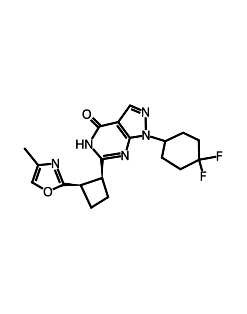 Cc1coc([C@@H]2CC[C@@H]2c2nc3c(cnn3C3CCC(F)(F)CC3)c(=O)[nH]2)n1